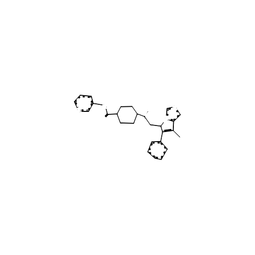 CC1=C(c2ccccc2)C(C[C@H](O)C2CCC(C(=O)Nc3cccnc3)CC2)n2cncc21